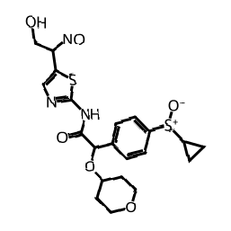 O=NC(CO)c1cnc(NC(=O)C(OC2CCOCC2)c2ccc([S+]([O-])C3CC3)cc2)s1